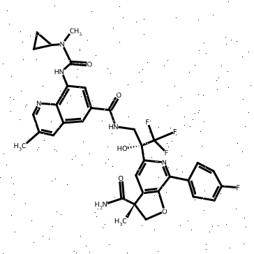 Cc1cnc2c(NC(=O)N(C)C3CC3)cc(C(=O)NC[C@](O)(c3cc4c(c(-c5ccc(F)cc5)n3)OC[C@]4(C)C(N)=O)C(F)(F)F)cc2c1